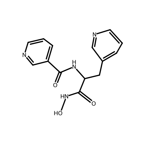 O=C(NC(Cc1cccnc1)C(=O)NO)c1cccnc1